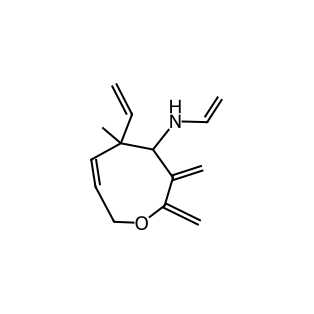 C=CNC1C(=C)C(=C)OC/C=C\C1(C)C=C